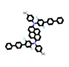 [C-]#[N+]c1ccc(N(c2cc(F)c(-c3ccc(-c4ccccc4)cc3)cc2F)c2ccc3ccc4c(N(c5ccc(C#N)cc5)c5cc(F)c(-c6ccc(-c7ccccc7)cc6)cc5F)ccc5ccc2c3c54)cc1